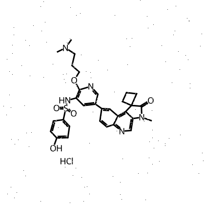 CN(C)CCCOc1ncc(-c2ccc3ncc4c(c3c2)C2(CCC2)C(=O)N4C)cc1NS(=O)(=O)c1ccc(O)cc1.Cl